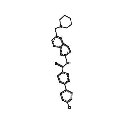 O=C(Nc1ccc2nc(CN3CCCCC3)ccc2c1)c1ccc(-c2ccc(Cl)cc2)nc1